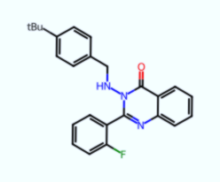 CC(C)(C)c1ccc(CNn2c(-c3ccccc3F)nc3ccccc3c2=O)cc1